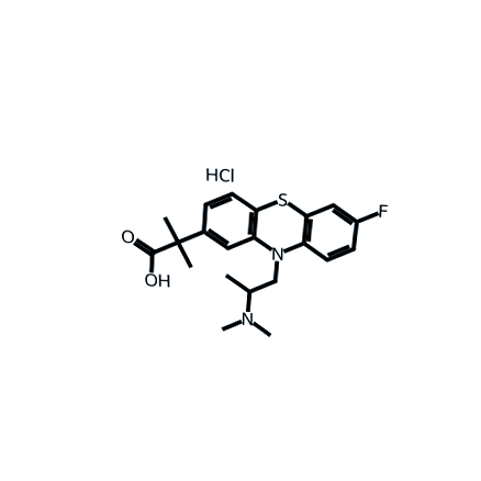 CC(CN1c2ccc(F)cc2Sc2ccc(C(C)(C)C(=O)O)cc21)N(C)C.Cl